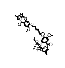 CCOC(=O)N1c2cc(OCCCCCOc3cc4c(cc3OC)C(=O)N3C=C(C)C[C@H]3C=N4)c(OC)cc2C(=O)N2C=C(C)C[C@H]2[C@@H]1O